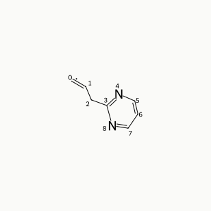 [CH]=CCc1ncccn1